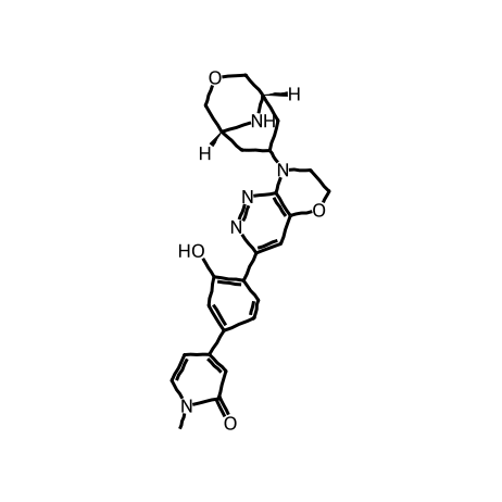 Cn1ccc(-c2ccc(-c3cc4c(nn3)N(C3C[C@H]5COC[C@@H](C3)N5)CCO4)c(O)c2)cc1=O